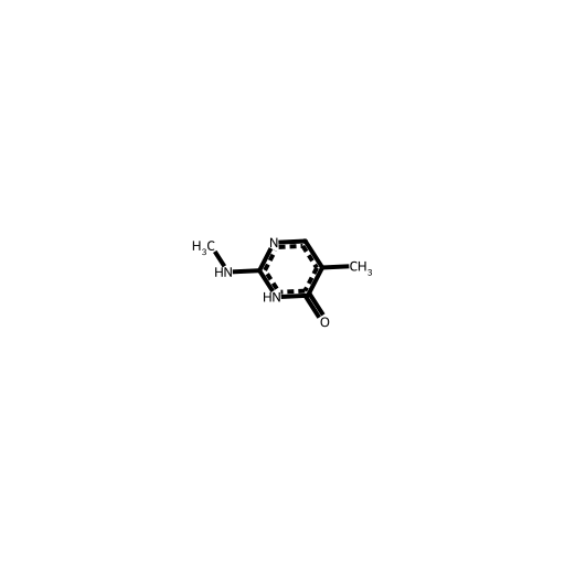 CNc1ncc(C)c(=O)[nH]1